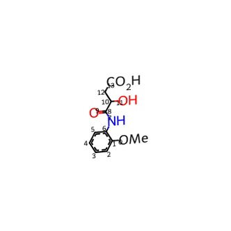 COc1ccccc1NC(=O)C(O)CC(=O)O